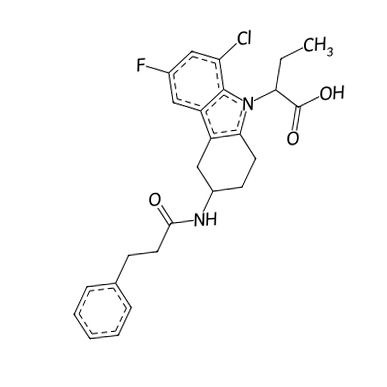 CCC(C(=O)O)n1c2c(c3cc(F)cc(Cl)c31)CC(NC(=O)CCc1ccccc1)CC2